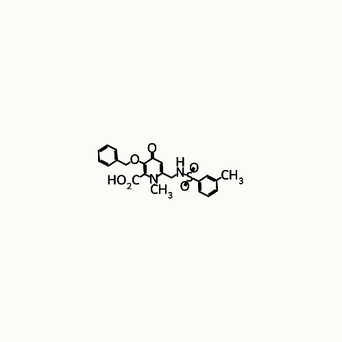 Cc1cccc(S(=O)(=O)NCc2cc(=O)c(OCc3ccccc3)c(C(=O)O)n2C)c1